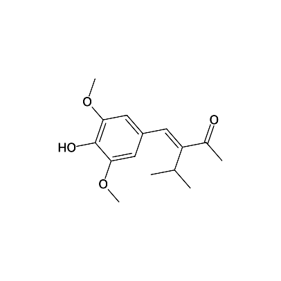 COc1cc(/C=C(/C(C)=O)C(C)C)cc(OC)c1O